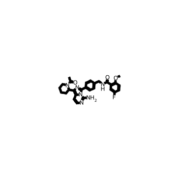 COc1ccc(F)cc1C(=O)NCc1ccc(-c2nc(C3CCCCN3C(C)=O)c3ccnc(N)n23)cc1